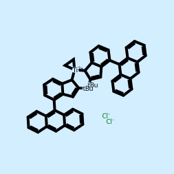 CC(C)(C)C1=Cc2c(-c3c4ccccc4cc4ccccc34)cccc2[CH]1[Ti+2]1([CH]2C(C(C)(C)C)=Cc3c(-c4c5ccccc5cc5ccccc45)cccc32)[CH2][CH2]1.[Cl-].[Cl-]